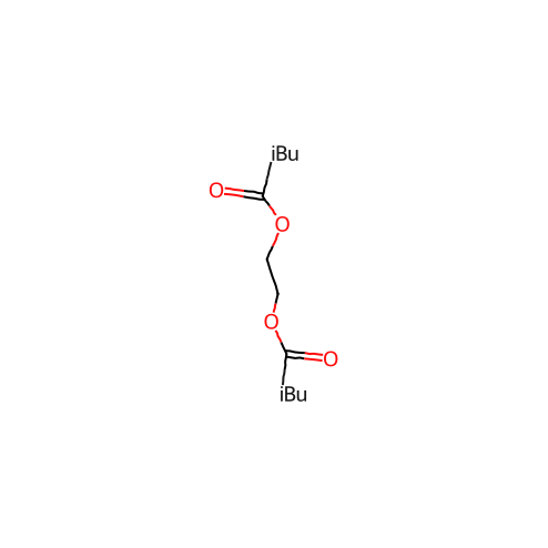 CCC(C)C(=O)OCCOC(=O)C(C)CC